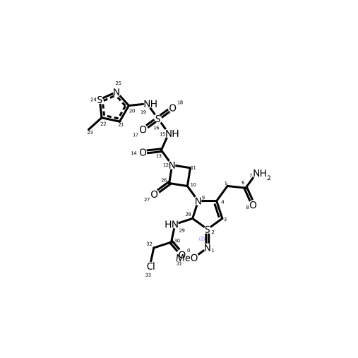 CO/N=S1/C=C(CC(N)=O)N(C2CN(C(=O)NS(=O)(=O)Nc3cc(C)sn3)C2=O)C1NC(=O)CCl